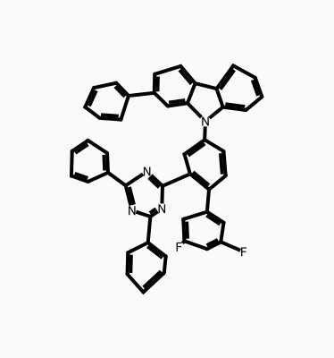 Fc1cc(F)cc(-c2ccc(-n3c4ccccc4c4ccc(-c5ccccc5)cc43)cc2-c2nc(-c3ccccc3)nc(-c3ccccc3)n2)c1